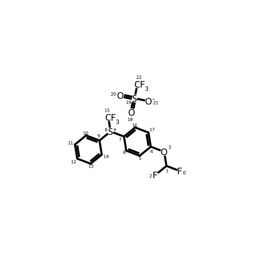 FC(F)Oc1ccc([S+](c2ccccc2)C(F)(F)F)cc1.O=S(=O)([O-])C(F)(F)F